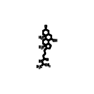 CC(C)NC(=O)CCCC1CCC2C3C(O)CC4CC(=O)CCC4(C)C3CCC12C